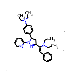 CCN(CC)C(=Cc1ccccc1)C1=NN(c2ccccn2)C(c2ccc(N(CC)CC)cc2)C1